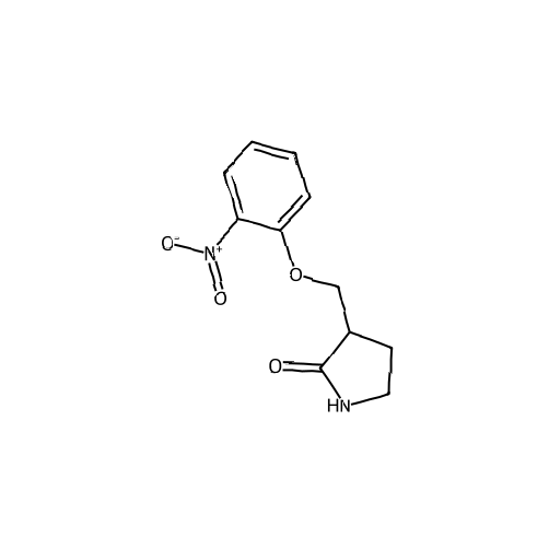 O=C1NCCC1COc1ccccc1[N+](=O)[O-]